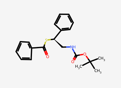 CC(C)(C)OC(=O)NC[C@@H](SC(=O)c1ccccc1)c1ccccc1